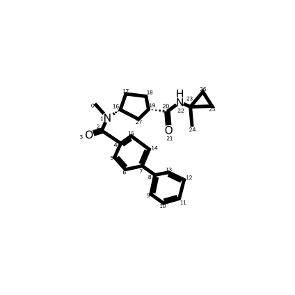 CN(C(=O)c1ccc(-c2ccccc2)cc1)[C@@H]1CC[C@H](C(=O)NC2(C)CC2)C1